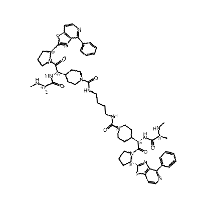 CN[C@@H](C)C(=O)N[C@H](C(=O)N1CCC[C@H]1c1nc2c(-c3ccccc3)nccc2s1)C1CCN(C(=O)NCCCCNC(=O)N2CCC([C@H](NC(=O)[C@H](C)NC)C(=O)N3CCC[C@H]3c3nc4c(-c5ccccc5)nccc4s3)CC2)CC1